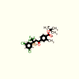 Cc1cc(C(=O)CC(S)(c2cc(Cl)cc(Cl)c2)C(F)(F)F)ccc1C(=O)OC(C)(C)C